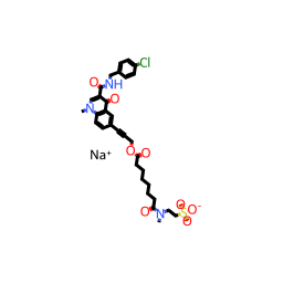 CN(CCS(=O)(=O)[O-])C(=O)CCCCCCC(=O)OCC#Cc1ccc2c(c1)c(=O)c(C(=O)NCc1ccc(Cl)cc1)cn2C.[Na+]